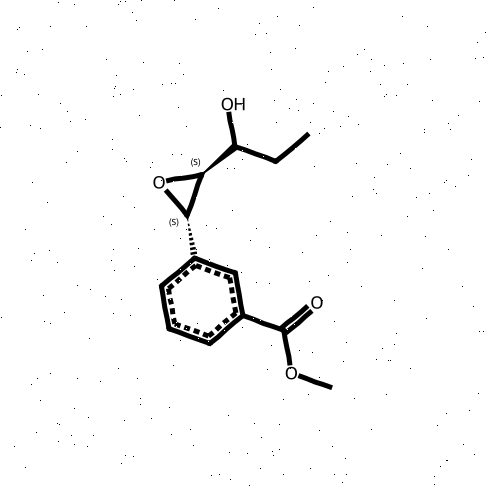 CCC(O)[C@@H]1O[C@H]1c1cccc(C(=O)OC)c1